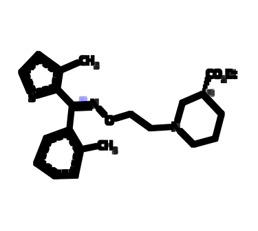 CCOC(=O)[C@@H]1CCCN(CCO/N=C(\c2ccccc2C)c2sccc2C)C1